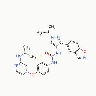 CC(C)Nc1cc(Oc2ccc(NC(=O)Nc3cn(C(C)C)nc3-c3ccc4oncc4c3)c(F)c2)ccn1